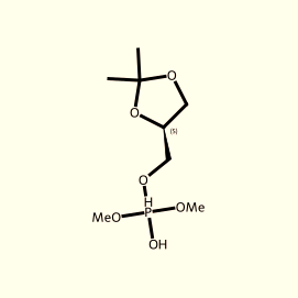 CO[PH](O)(OC)OC[C@@H]1COC(C)(C)O1